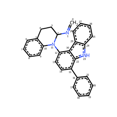 C=NC1CCc2ccccc2N1c1ccc(-c2ccccc2)c2[nH]c3ccccc3c12